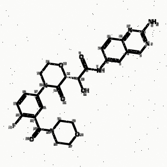 Nc1ncc2cc(NC(=O)C(O)[C@H]3OCCN(c4ccc(F)c(C(=O)N5CCOCC5)c4)C3=O)ccc2n1